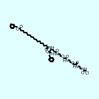 O=C(CCl)NCCNC(=O)COCCNC(=O)COCCNC(=O)CCC(NC(=O)CCCCCCCCCCCCCCCCC(=O)OCc1ccccc1)C(=O)OCc1ccccc1